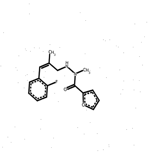 CC(=Cc1ccccc1F)CNN(C)C(=O)c1ccco1